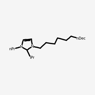 CCCCCCCCCCCCCCCCN1C=CN(CCC)C1C(C)C